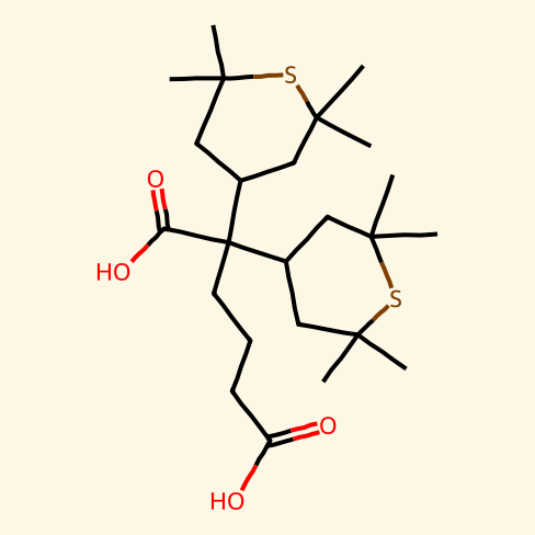 CC1(C)CC(C(CCCC(=O)O)(C(=O)O)C2CC(C)(C)SC(C)(C)C2)CC(C)(C)S1